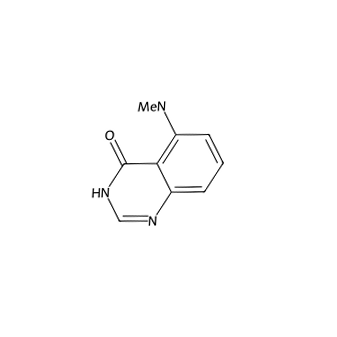 CNc1cccc2nc[nH]c(=O)c12